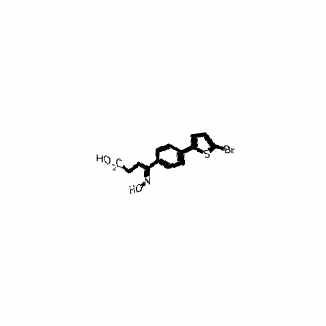 O=C(O)CCC(=NO)c1ccc(-c2ccc(Br)s2)cc1